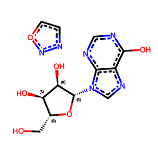 OC[C@H]1O[C@@H](n2cnc3c(O)ncnc32)[C@H](O)[C@@H]1O.c1conn1